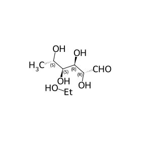 CCO.C[C@H](O)[C@H](O)[C@@H](O)[C@@H](O)C=O